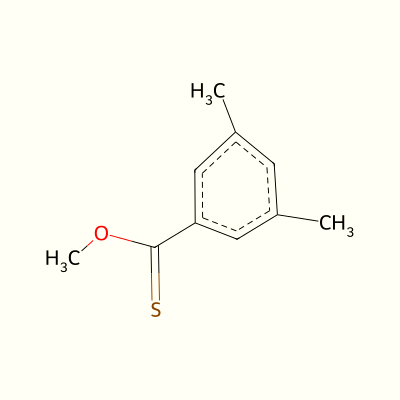 COC(=S)c1cc(C)cc(C)c1